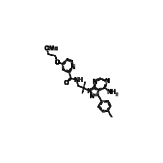 COCCOc1ccnc(C(=O)NCC(C)(C)n2nc(-c3ccc(C)cc3)c3c(N)ncnc32)c1